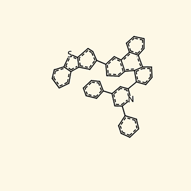 c1ccc(-c2cc(-c3ccccc3)nc(-c3cccc4c5ccccc5c5cc(-c6ccc7sc8ccccc8c7c6)ccc5c34)c2)cc1